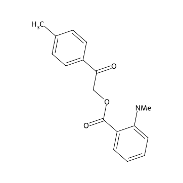 CNc1ccccc1C(=O)OCC(=O)c1ccc(C)cc1